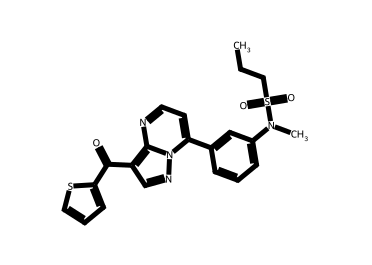 CCCS(=O)(=O)N(C)c1cccc(-c2ccnc3c(C(=O)c4cccs4)cnn23)c1